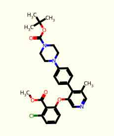 COC(=O)c1c(Cl)cccc1Oc1cncc(C)c1-c1ccc(N2CCN(C(=O)OC(C)(C)C)CC2)cc1